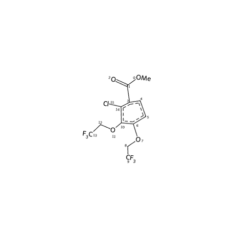 COC(=O)c1ccc(OCC(F)(F)F)c(OCC(F)(F)F)c1Cl